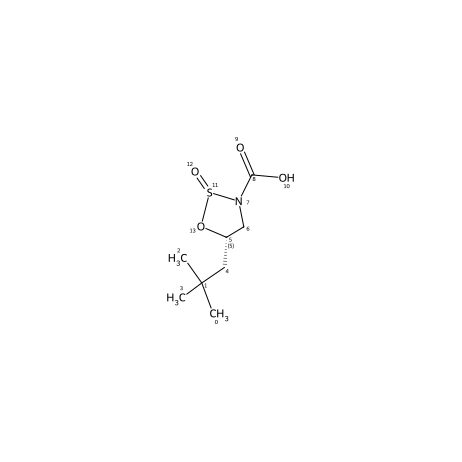 CC(C)(C)C[C@H]1CN(C(=O)O)S(=O)O1